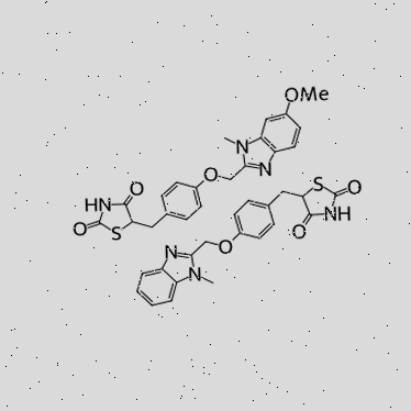 COc1ccc2nc(COc3ccc(CC4SC(=O)NC4=O)cc3)n(C)c2c1.Cn1c(COc2ccc(CC3SC(=O)NC3=O)cc2)nc2ccccc21